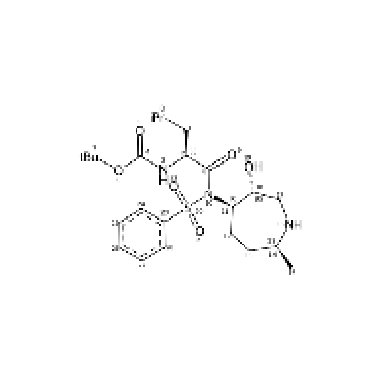 CC(C)C[C@H](NC(=O)OC(C)(C)C)C(=O)N([C@@H]1CC[C@H](C)NC[C@H]1O)S(=O)(=O)c1ccccc1